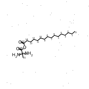 CCCCCCCCCCCCCCCC(=O)OC(=O)C(C)(N)N